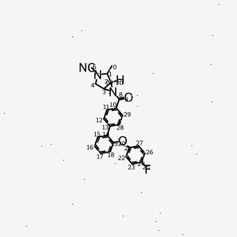 CC1[C@H]2C(CN1C#N)N2C(=O)c1ccc(-c2ccccc2Oc2ccc(F)cc2)cc1